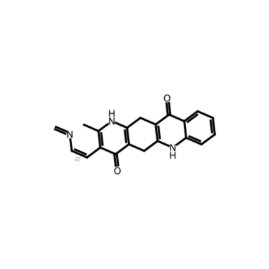 C=N/C=C\c1c(C)[nH]c2c(c1=O)Cc1[nH]c3ccccc3c(=O)c1C2